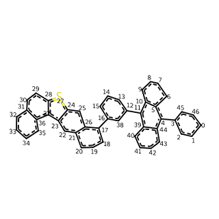 c1ccc(-c2c3ccccc3c(-c3cccc(-c4cccc5cc6c(cc45)sc4ccc5ccccc5c46)c3)c3ccccc23)cc1